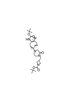 CC(C)(C)OC(=O)N/C1=C(\Br)C/C=C/C(N2CCN(CC3CN(C(=O)OC(C)(C)C)C3)C(=O)C2)=C\C1